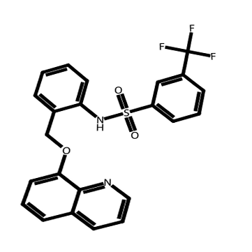 O=S(=O)(Nc1ccccc1COc1cccc2cccnc12)c1cccc(C(F)(F)F)c1